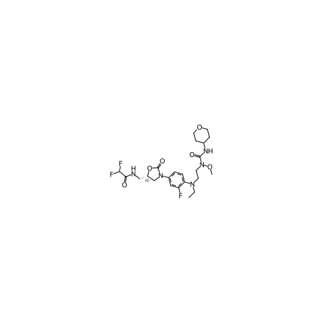 CCN(CCN(OC)C(=O)NC1CCOCC1)c1ccc(N2C[C@H](CNC(=O)C(F)F)OC2=O)cc1F